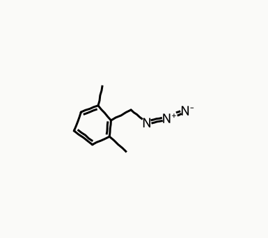 Cc1cccc(C)c1CN=[N+]=[N-]